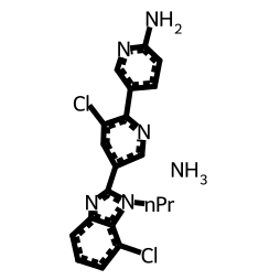 CCCn1c(-c2cnc(-c3ccc(N)nc3)c(Cl)c2)nc2cccc(Cl)c21.N